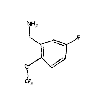 NCc1cc(F)ccc1OC(F)(F)F